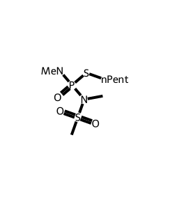 CCCCCSP(=O)(NC)N(C)S(C)(=O)=O